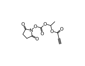 C#CC(=O)OC(C)OC(=O)ON1C(=O)CCC1=O